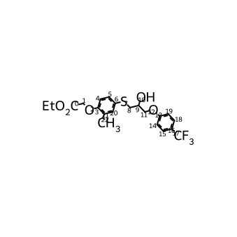 CCOC(=O)COc1ccc(SCC(O)COc2ccc(C(F)(F)F)cc2)cc1C